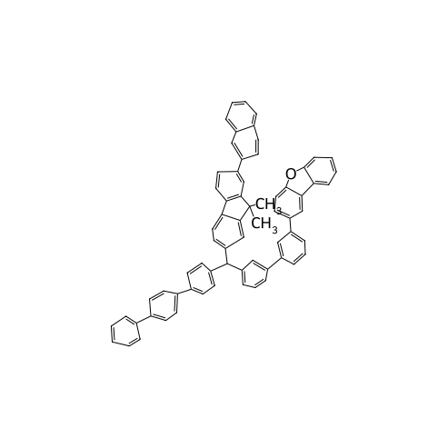 CC1(C)c2cc(-c3ccc4ccccc4c3)ccc2-c2ccc(C(c3ccc(-c4ccc(-c5ccccc5)cc4)cc3)c3cccc(-c4cccc(-c5ccc6oc7ccccc7c6c5)c4)c3)cc21